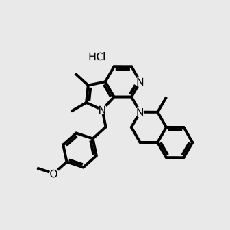 COc1ccc(Cn2c(C)c(C)c3ccnc(N4CCc5ccccc5C4C)c32)cc1.Cl